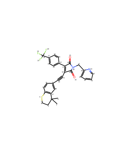 CC1(C)CCSc2ccc(C#CC3=C(c4ccc(C(F)(F)F)cc4)C(=O)N(Cc4ccccn4)C3=O)cc21